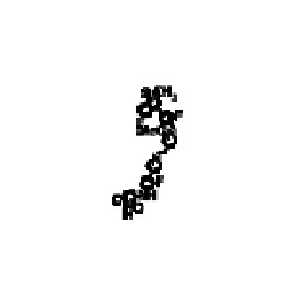 COc1cc(-c2cn(C)c(=O)c3ccc(F)cc23)cc(F)c1CN1CCC(CCN2CCC(c3ccc(NC4CCC(=O)NC4=O)cc3F)CC2)CC1